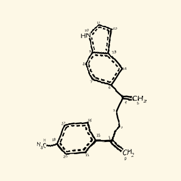 C=C(CCC(=C)c1ccc2[nH]ccc2c1)c1ccc(C)cc1